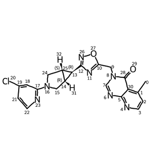 Cc1ccnc2ncn(Cc3nc([C@H]4[C@@H]5CN(c6cc(Cl)ccn6)C[C@@H]54)no3)c(=O)c12